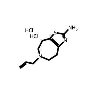 C=CCN1CCc2nc(N)sc2CC1.Cl.Cl